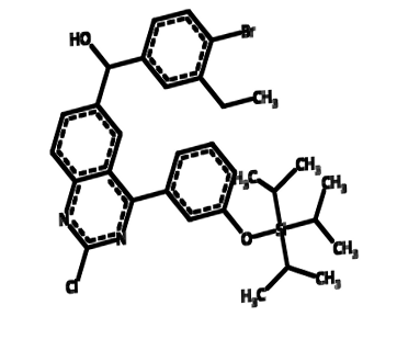 CCc1cc(C(O)c2ccc3nc(Cl)nc(-c4cccc(O[Si](C(C)C)(C(C)C)C(C)C)c4)c3c2)ccc1Br